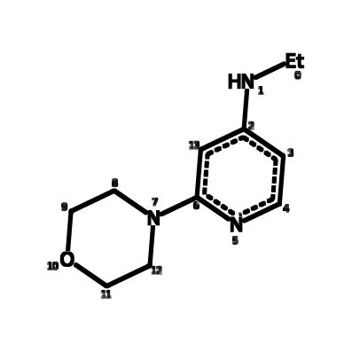 CCNc1ccnc(N2CCOCC2)c1